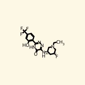 CCN1C[C@@H](F)C[C@@H](Nc2nnc(-c3ccc(C(F)(F)F)cc3O)[nH]c2=O)C1